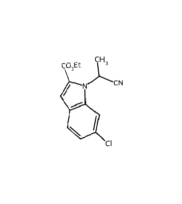 CCOC(=O)c1cc2ccc(Cl)cc2n1C(C)C#N